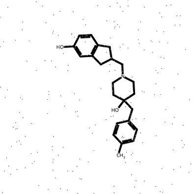 Cc1ccc(CC2(O)CCN(CC3Cc4ccc(O)cc4C3)CC2)cc1